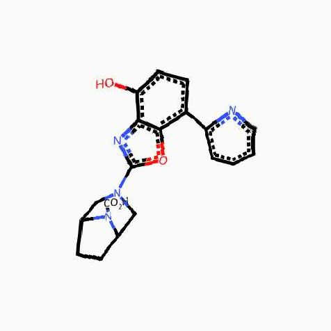 O=C(O)N1C2CCC1CN(c1nc3c(O)ccc(-c4ccccn4)c3o1)C2